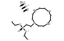 CCOP(=O)(CCN1CCNCCNCCNCC1)OCC.[C]=O.[C]=O.[C]=O.[Mo]